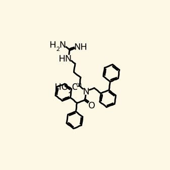 N=C(N)NCCC[C@@H](C(=O)O)N(Cc1ccccc1-c1ccccc1)C(=O)C(c1ccccc1)c1ccccc1